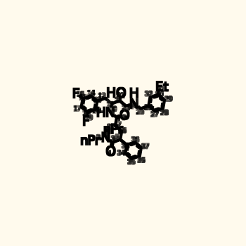 CCCN(CCC)C(=O)C(CCC(=O)N[C@@H](Cc1cc(F)cc(F)c1)[C@@H](O)CNCc1cccc(CC)c1)c1ccccc1